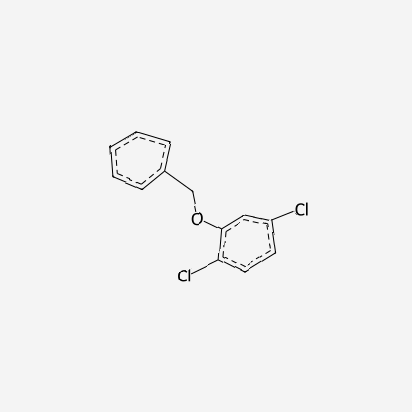 Clc1ccc(Cl)c(OCc2ccccc2)c1